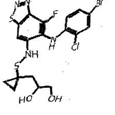 OCC(O)CC1(SNc2cc3snnc3c(F)c2Nc2ccc(Br)cc2Cl)CC1